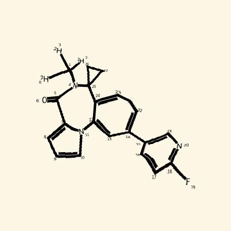 [2H]C([2H])([2H])N1C(=O)c2cccn2-c2cc(-c3ccc(F)nc3)ccc2C12CC2